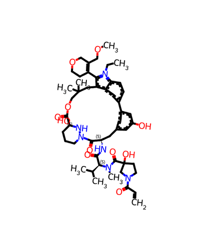 C=CC(=O)N1CCC(O)(C(=O)N(C)[C@H](C(=O)N[C@H]2Cc3cc(O)cc(c3)-c3ccc4c(c3)c(c(C3=C(COC)COCC3)n4CC)CC(C)(C)COC(=O)[C@@]3(O)CCCN(N3)C2=O)C(C)C)C1